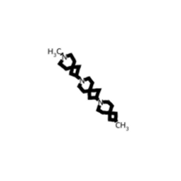 CC1CC2(CCN(C3CC4(CCN(C5CC6(CCN(C)CC6)C5)CC4)C3)CC2)C1